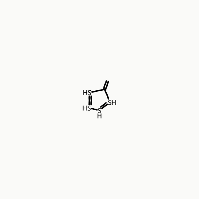 C=C1[SH]=[SH][SH]=[SH]1